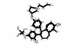 Oc1ccc2c(c1F)CCCC(c1ccc(OC(F)(F)F)cc1Cl)=C2c1ccc(O[C@H]2CCN(CCCF)C2)cc1